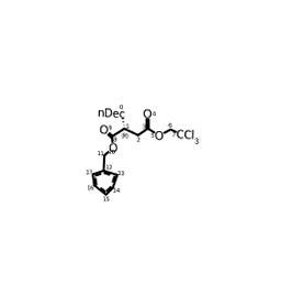 CCCCCCCCCC[C@H](CC(=O)OCC(Cl)(Cl)Cl)C(=O)OCc1ccccc1